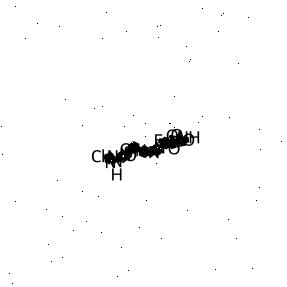 O=C1CCC(N2C(=O)c3cc(F)c(N4CCN(CC5CCN(c6cccc(S(=O)(=O)N7CCC(Nc8ncc(Cl)cn8)CC7)c6)CC5)CC4)cc3C2=O)C(=O)N1